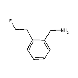 NCc1ccccc1CCF